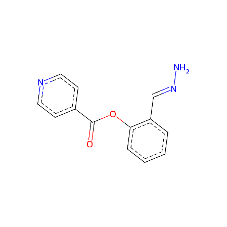 NN=Cc1ccccc1OC(=O)c1ccncc1